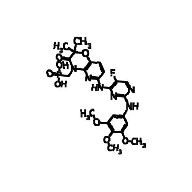 COc1cc(Nc2ncc(F)c(Nc3ccc4c(n3)N(CP(=O)(O)O)C(=O)C(C)(C)O4)n2)cc(OC)c1OC